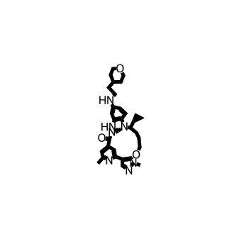 Cc1cc2cc(n1)-c1cnn(C)c1OCCCC(C1CC1)N1/C(=N/C2=O)Nc2cc(NCCC3CCOCC3)ccc21